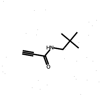 C#CC(=O)NCC(C)(C)C